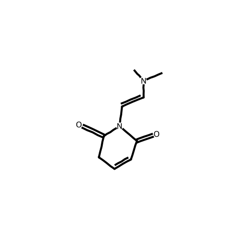 CN(C)C=CN1C(=O)C=CCC1=O